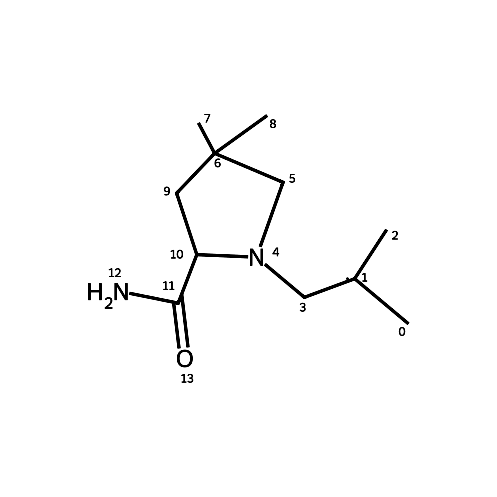 C[C](C)CN1CC(C)(C)CC1C(N)=O